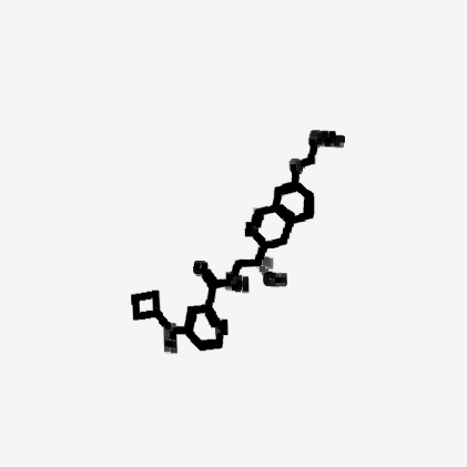 COCOc1ccc2c(c1)C=NC([C@H](O)CNC(=O)c1cc(NC3CCC3)ccn1)C2